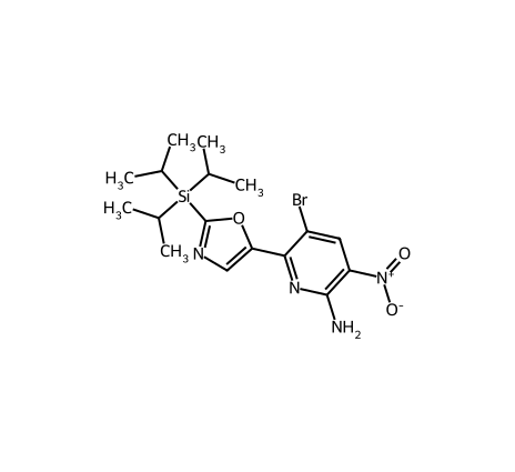 CC(C)[Si](c1ncc(-c2nc(N)c([N+](=O)[O-])cc2Br)o1)(C(C)C)C(C)C